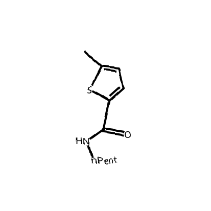 CCCCCNC(=O)c1ccc(C)s1